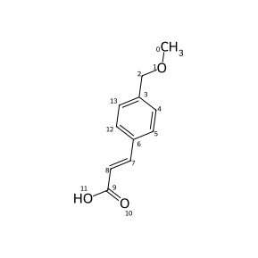 COCc1ccc(/C=C/C(=O)O)cc1